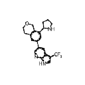 FC(F)(F)c1c[nH]c2ncc(-c3cc4c(c(C5CCCN5)c3)COCC4)cc12